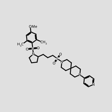 COc1cc(C)c(S(=O)(=O)N2CCCC2CCCS(=O)(=O)N2CCC3(CCN(c4ccncc4)CC3)CC2)c(C)c1